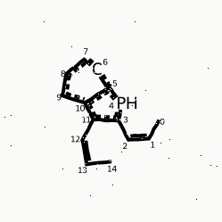 C/C=C\c1[pH]c2ccccc2c1/C=C\C